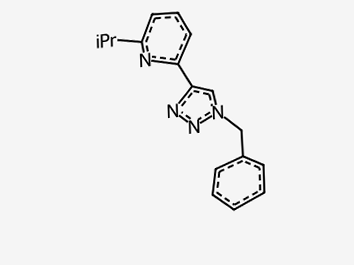 CC(C)c1cccc(-c2cn(Cc3ccccc3)nn2)n1